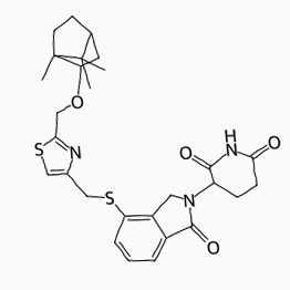 CC1(C)C2CCC1(C)C(OCc1nc(CSc3cccc4c3CN(C3CCC(=O)NC3=O)C4=O)cs1)C2